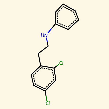 Clc1ccc(CCNc2cc[c]cc2)c(Cl)c1